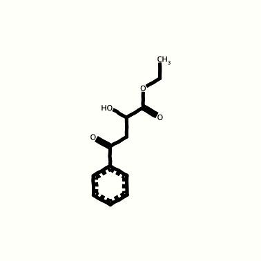 CCOC(=O)C(O)CC(=O)c1ccccc1